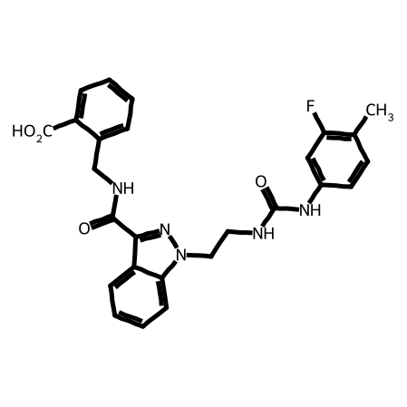 Cc1ccc(NC(=O)NCCn2nc(C(=O)NCc3ccccc3C(=O)O)c3ccccc32)cc1F